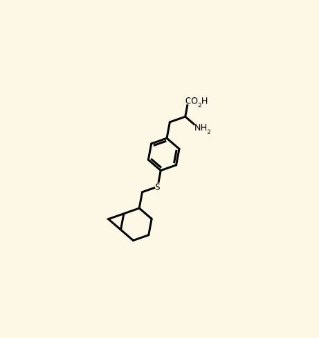 NC(Cc1ccc(SCC2CCCC3CC23)cc1)C(=O)O